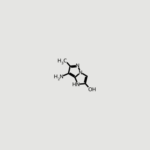 Cc1nn2cc(O)[nH]c2c1N